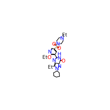 CCOc1ncc(S(=O)(=O)N2CCN(CC)CC2)cc1-c1nc2c(CC)n(C3CCCCC3)nc2c(=O)[nH]1